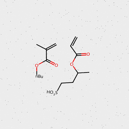 C=C(C)C(=O)OCCCC.C=CC(=O)OC(C)CCS(=O)(=O)O